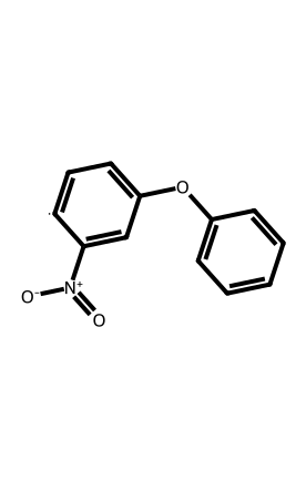 O=[N+]([O-])c1[c]ccc(Oc2ccccc2)c1